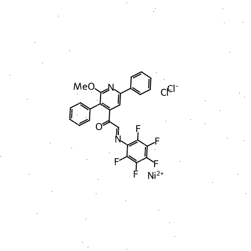 COc1nc(-c2ccccc2)cc(C(=O)C=Nc2c(F)c(F)c(F)c(F)c2F)c1-c1ccccc1.[Cl-].[Cl-].[Ni+2]